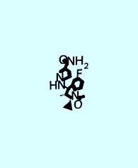 CC(=O)N1c2ccc(F)cc2[C@H](Nc2ccc(C(N)=O)cn2)[C@@H](C)[C@H]1C1CC1